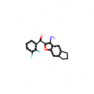 Nc1c(C(=O)c2cccc(F)c2F)oc2cc3c(cc12)CCC3